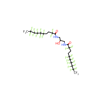 O=C(NCC(O)CNC(=O)C(F)(F)CCC(F)(F)C(F)(F)C(F)(F)C(F)(F)C(F)(F)C(F)(F)F)C(F)(F)CCC(F)(F)C(F)(F)C(F)(F)C(F)(F)C(F)(F)C(F)(F)F